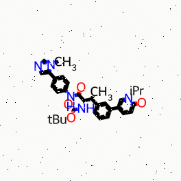 CC(c1cccc(-c2ccc(=O)n(C(C)C)c2)c1)[C@H](NC(=O)OC(C)(C)C)C(=O)Nc1ccc(-c2cncn2C)cc1